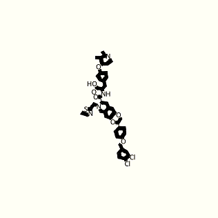 Cc1nccc(Oc2ccc(CC(NC(=O)[C@@H]3Cc4cc5c(cc4CN3Cc3nccs3)O[C@@H](c3ccc(OCc4ccc(Cl)c(Cl)c4)cc3)CO5)C(=O)O)cc2)c1C